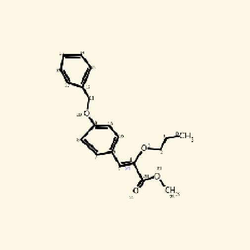 CCCO/C(=C\c1ccc(OCc2ccccc2)cc1)C(=O)OC